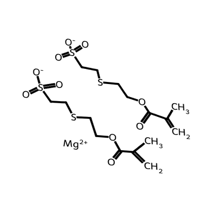 C=C(C)C(=O)OCCSCCS(=O)(=O)[O-].C=C(C)C(=O)OCCSCCS(=O)(=O)[O-].[Mg+2]